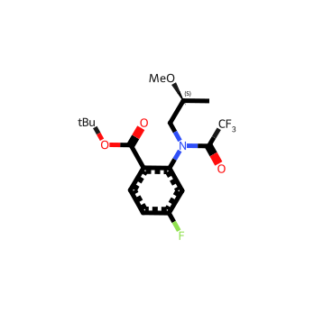 CO[C@@H](C)CN(C(=O)C(F)(F)F)c1cc(F)ccc1C(=O)OC(C)(C)C